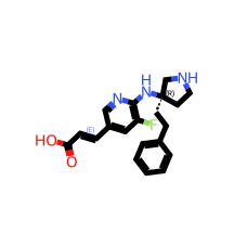 O=C(O)/C=C/c1cnc(N[C@]2(CCc3ccccc3)CCNC2)c(F)c1